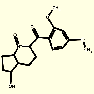 COc1ccc(C(=O)C2CCC3C(O)CCC3[N+]2=O)c(OC)c1